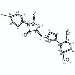 O=C1C(=Cc2ccc(-c3cc([N+](=O)[O-])ccc3Br)o2)SC(=S)N1c1ccc(I)cc1